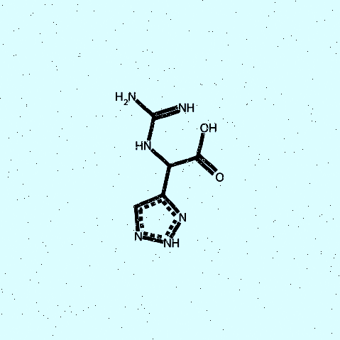 N=C(N)NC(C(=O)O)c1cn[nH]n1